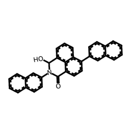 O=C1c2ccc(-c3ccc4ccccc4c3)c3cccc(c23)C(O)N1c1ccc2ccccc2c1